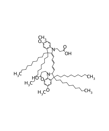 CCCCCCCCCCC1(CCCCCCCCCC)\C(=C/C=C/C=C/C2N(CCC(=O)O)c3ccc(OC)cc3C2(CCCCCCCCCC)CCCCCCCCCC)N(CCC(=O)O)c2ccc(OC)cc21